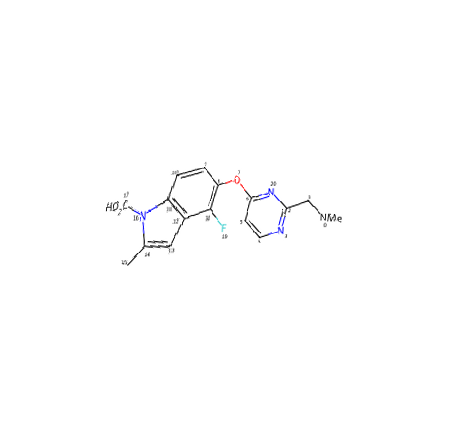 CNCc1nccc(Oc2ccc3c(cc(C)n3C(=O)O)c2F)n1